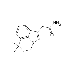 CC1(C)CCn2cc(CC(N)=O)c3cccc1c32